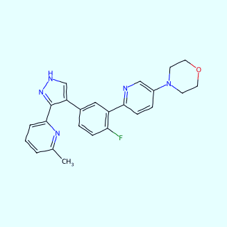 Cc1cccc(-c2n[nH]cc2-c2ccc(F)c(-c3ccc(N4CCOCC4)cn3)c2)n1